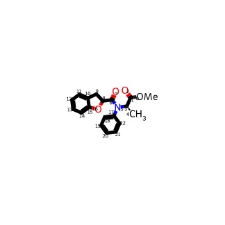 COC(=O)[C@H](C)N(C(=O)C1Cc2ccccc2O1)c1ccccc1